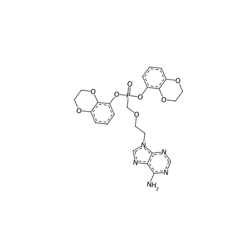 Nc1ncnc2c1ncn2CCOCP(=O)(Oc1cccc2c1OCCO2)Oc1cccc2c1OCCO2